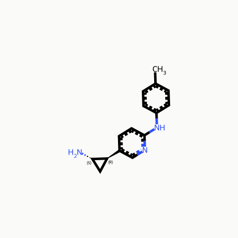 Cc1ccc(Nc2ccc([C@H]3C[C@@H]3N)cn2)cc1